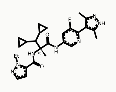 CCn1nccc1C(=O)N[C@@](C)(C(=O)Nc1cnc(-c2c(C)n[nH]c2C)c(F)c1)C(C1CC1)C1CC1